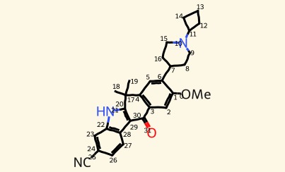 COc1cc2c(cc1C1CCN(C3CCC3)CC1)C(C)(C)c1[nH]c3cc(C#N)ccc3c1C2=O